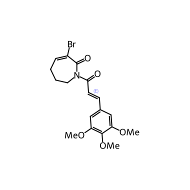 COc1cc(/C=C/C(=O)N2CCCC=C(Br)C2=O)cc(OC)c1OC